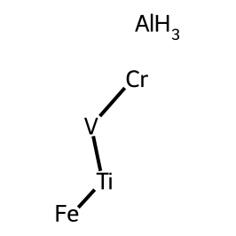 [AlH3].[Cr][V][Ti][Fe]